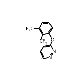 FC(F)(F)c1cccc(Oc2cc[c]nn2)c1C(F)(F)F